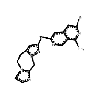 CC(C)c1cc2cc(Nc3cc4n(n3)Cc3nccn3CC4)ncc2c(N)n1